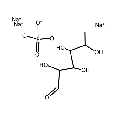 CC(O)C(O)C(O)C(O)C=O.O=P([O-])([O-])[O-].[Na+].[Na+].[Na+]